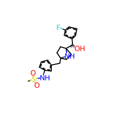 CS(=O)(=O)Nc1cccc(CC23CCC([C@H](O)c4cccc(F)c4)(CC2)N3)c1